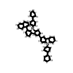 c1ccc(-c2ccc(-n3c4ccccc4c4cc(-c5ccc6c(c5)c5cccc(-c7cccc8ccccc78)c5n6-c5ccc(-c6ccccc6)cc5)ccc43)cc2)cc1